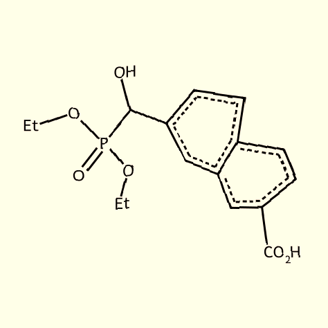 CCOP(=O)(OCC)C(O)c1ccc2ccc(C(=O)O)cc2c1